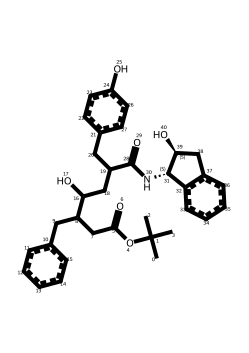 CC(C)(C)OC(=O)CC(Cc1ccccc1)C(O)CC(Cc1ccc(O)cc1)C(=O)N[C@H]1c2ccccc2C[C@@H]1O